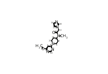 COc1cc(N2CCC(N(C)C(=O)Cn3ccnc3)CC2)ncn1